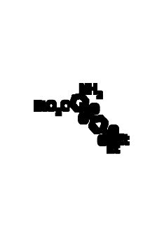 CCOC(=O)C1CC(N)CN(S(=O)(=O)c2ccc(S(=O)(=O)N(CC)CC)cc2)C1